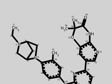 CCN1CC2CC1CN2c1ccc(Nc2nccc(-c3cnc4c(c3)OC(C)(C)C(=O)N4)n2)cc1C